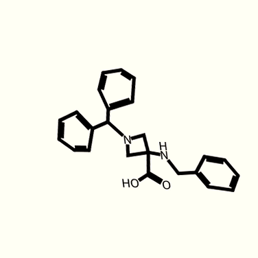 O=C(O)C1(NCc2ccccc2)CN(C(c2ccccc2)c2ccccc2)C1